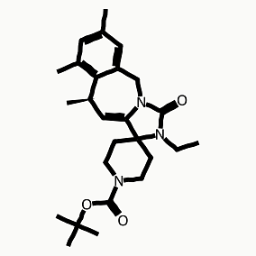 CCN1C(=O)N2Cc3cc(C)cc(C)c3[C@H](C)C=C2C12CCN(C(=O)OC(C)(C)C)CC2